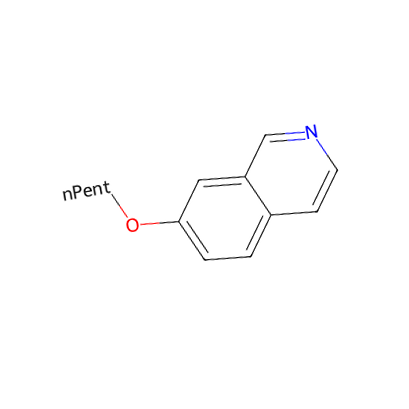 [CH2]CCCCOc1ccc2ccncc2c1